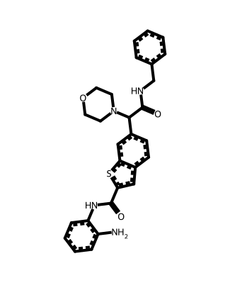 Nc1ccccc1NC(=O)c1cc2ccc(C(C(=O)NCc3ccccc3)N3CCOCC3)cc2s1